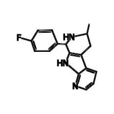 CC1Cc2c([nH]c3ncccc23)C(c2ccc(F)cc2)N1